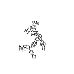 CSC[C@H]1COc2cc(SNC(=O)c3ccc(N4CCN(CC5=C(c6ccc(Cl)cc6)CC(C)(C)CC5)CC4)cc3Oc3cnc4[nH]ccc4c3)cc(N)c2N1